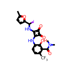 Cc1ccc(C(I)Nc2c(Nc3ccc(C(F)(F)F)c(C(=O)N(C)C)c3O)c(=O)c2=O)o1